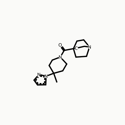 CC1(n2cccn2)CCN(C(=O)C23CCN(CC2)CC3)CC1